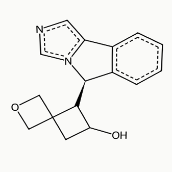 OC1CC2(COC2)C1[C@@H]1c2ccccc2-c2cncn21